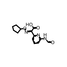 O=CNc1cccc(C(=NOC2CCCC2)C(=O)O)n1